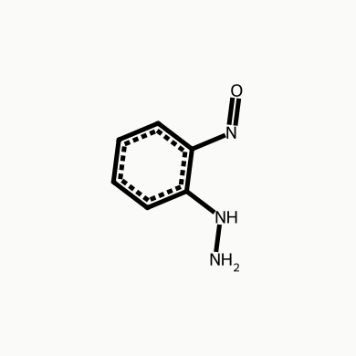 NNc1ccccc1N=O